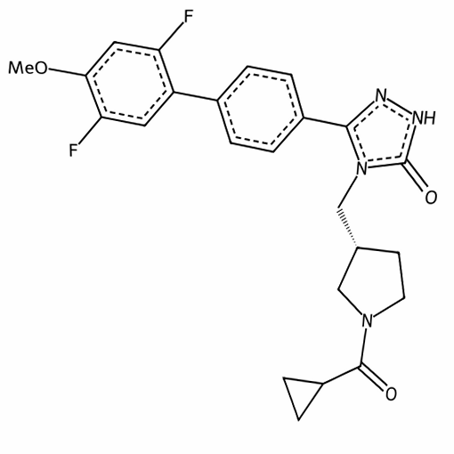 COc1cc(F)c(-c2ccc(-c3n[nH]c(=O)n3C[C@@H]3CCN(C(=O)C4CC4)C3)cc2)cc1F